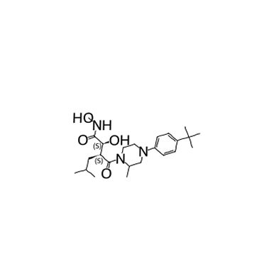 CC(C)C[C@H](C(=O)N1CCN(c2ccc(C(C)(C)C)cc2)CC1C)[C@H](O)C(=O)NO